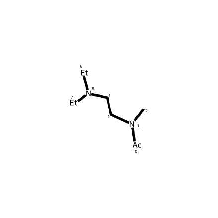 [CH2]C(=O)N(C)CCN(CC)CC